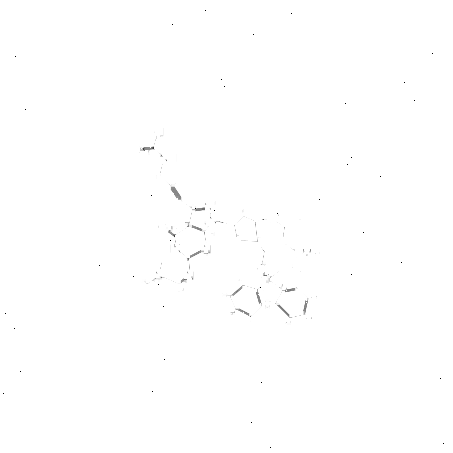 CSS[C@@H](C)O[C@@H]1C[C@H](n2nc(C#CCNC(=O)C(F)(F)F)c3c(=O)[nH]c(/N=C\N(C)C)nc32)O[C@@H]1CO[Si](c1ccccc1)(c1ccccc1)C(C)(C)C